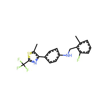 Cc1cccc(F)c1CNc1ccc(-c2nc(C(F)(F)F)sc2C)cc1